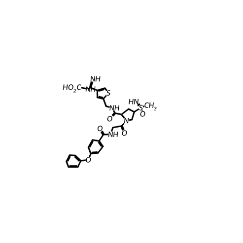 CS(=N)(=O)C1CC(C(=O)NCc2cc(C(=N)NC(=O)O)cs2)N(C(=O)CNC(=O)c2ccc(Oc3ccccc3)cc2)C1